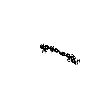 O=C1CCC(N2C(=O)c3ccc(N4CCN(CCC5CCN(c6ncc(-c7ccc8c9ncccc9n(C(F)F)c8c7)cc6F)CC5)CC4)cc3C2=O)C(=O)N1